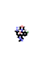 Cc1ncc2c(-c3ccc(F)cc3C(=O)N3[C@H](C)COC[C@H]3C)cc(CC3CNC3)cn12